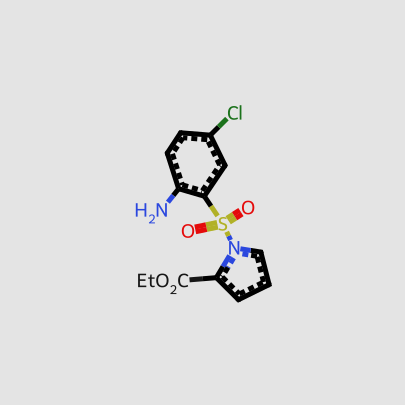 CCOC(=O)c1cccn1S(=O)(=O)c1cc(Cl)ccc1N